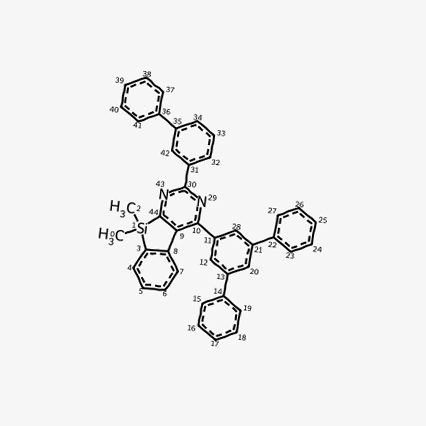 C[Si]1(C)c2ccccc2-c2c(-c3cc(-c4ccccc4)cc(-c4ccccc4)c3)nc(-c3cccc(-c4ccccc4)c3)nc21